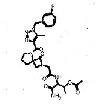 CC(=O)OC(C)C(NC(=O)CN1CC2(CCCN2C(=O)c2nnn(Cc3cccc(F)c3)c2C)C1=O)C(N)=O